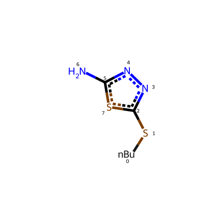 CCCCSc1nnc(N)s1